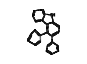 c1ccc(-c2ccc3[nH]c4ccccc4c3c2-c2ccccc2)cc1